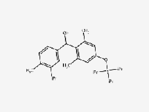 Cc1ccc(C(O)c2c(C)cc(O[Si](C(C)C)(C(C)C)C(C)C)cc2C)cc1C(C)C